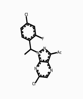 CC(=O)c1nn(C(C)c2ccc(Cl)cc2F)c2nc(Cl)cnc12